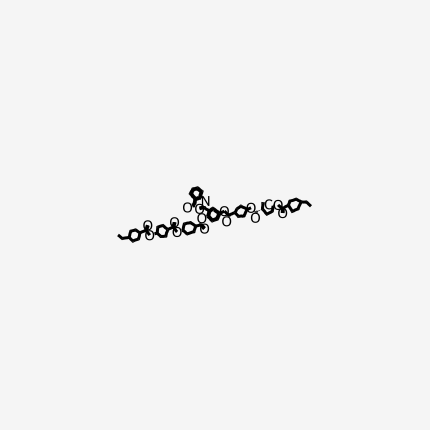 CCC1CCC(C(=O)OC2CCC(C(=O)OC3CCC(C(=O)Oc4ccc(OC(=O)C5CCC(OC(=O)[C@H]6CC[C@H](OC(=O)C7CCC(CC)CC7)CC6)CC5)cc4-c4nc5ccccc5c(=O)o4)CC3)CC2)CC1